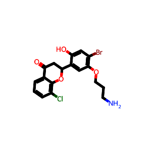 NCCCOc1cc(C2CC(=O)c3cccc(Cl)c3O2)c(O)cc1Br